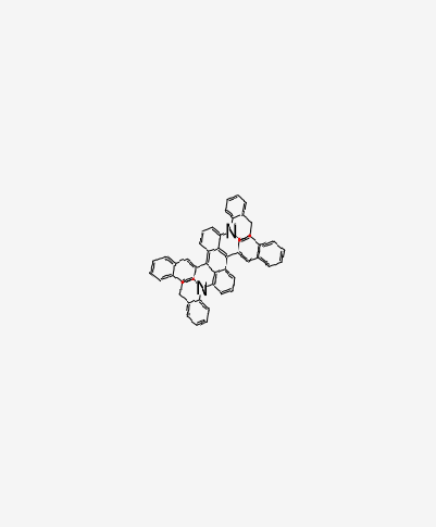 c1ccc2c(c1)CCCN2c1cccc2c(-c3ccc4ccccc4c3)c3c(N4CCCc5ccccc54)cccc3c(-c3ccc4ccccc4c3)c12